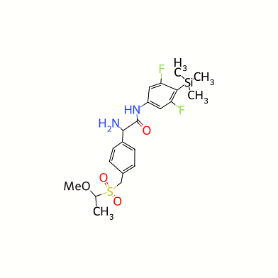 COC(C)S(=O)(=O)Cc1ccc(C(N)C(=O)Nc2cc(F)c([Si](C)(C)C)c(F)c2)cc1